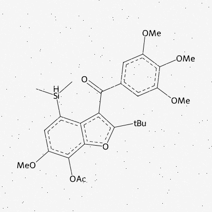 COc1cc(C(=O)c2c(C(C)(C)C)oc3c(OC(C)=O)c(OC)cc([SiH](C)C)c23)cc(OC)c1OC